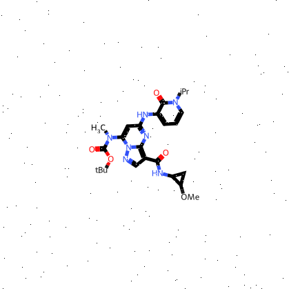 COC1CC1NC(=O)c1cnn2c(N(C)C(=O)OC(C)(C)C)cc(Nc3cccn(C(C)C)c3=O)nc12